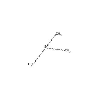 CCCCCCCCCCCCCCCCCCc1ccc[n+](CCCCCCCCCCCCCCC)c1CCCCCCCCCCCCCCCCCC